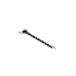 CCC(C)(C)C(=O)OCCOCCOCCOCCOCCOCCOCCOCCOCCOCCOCCOC